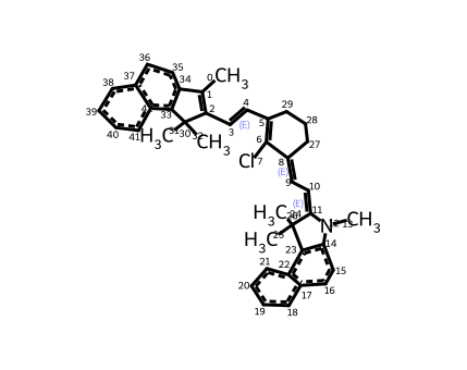 CC1=C(/C=C/C2=C(Cl)C(=C/C=C3/N(C)c4ccc5ccccc5c4C3(C)C)/CCC2)C(C)(C)c2c1ccc1ccccc21